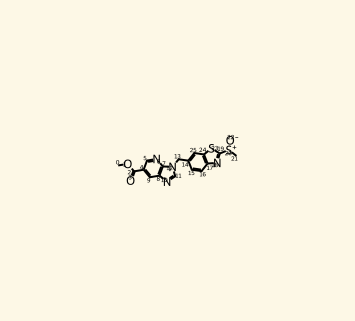 COC(=O)c1cnc2c(c1)ncn2Cc1ccc2nc([S+](C)[O-])sc2c1